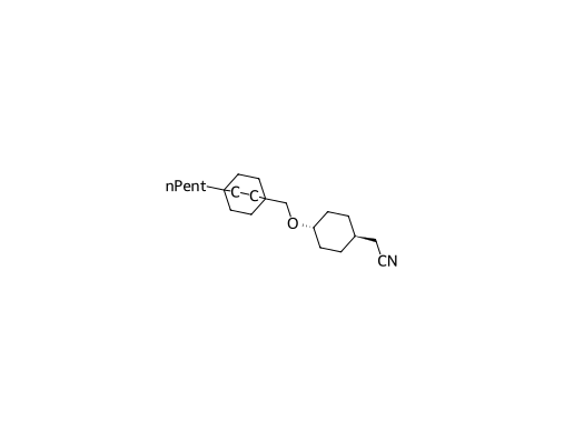 CCCCCC12CCC(CO[C@H]3CC[C@H](CC#N)CC3)(CC1)CC2